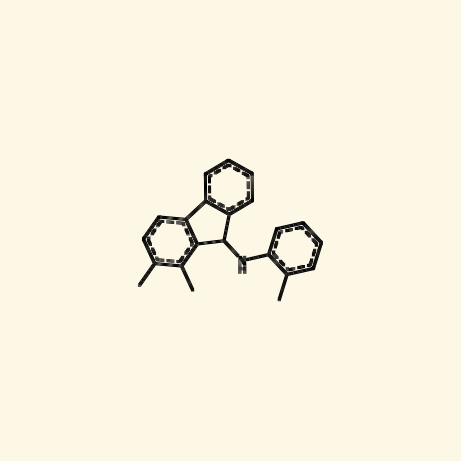 Cc1ccccc1NC1c2ccccc2-c2ccc(C)c(C)c21